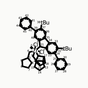 [CH2]=[Zr]([Cl])([Cl])([CH2]C1CCCC1)([CH2]C1CCCC1)([CH]1C=CC=C1)[CH]1c2cc(-c3ccccc3)c(C(C)(C)C)cc2-c2cc(C(C)(C)C)c(-c3ccccc3)cc21